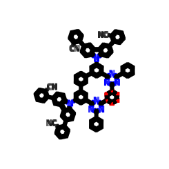 N#Cc1ccccc1-c1ccc2c(c1)c1cc(-c3ccccc3C#N)ccc1n2-c1cc(-c2cccc(-c3cc(-c4nc(-c5ccccc5)nc(-c5ccccc5)n4)cc(-n4c5ccc(-c6ccccc6C#N)cc5c5cc(-c6ccccc6C#N)ccc54)c3)c2)cc(-c2nc(-c3ccccc3)nc(-c3ccccc3)n2)c1